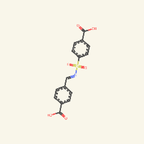 O=C(O)c1ccc(C=NS(=O)(=O)c2ccc(C(=O)O)cc2)cc1